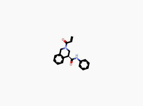 C=CC(=O)N1Cc2ccccc2[C@H](C(=O)Nc2ccccc2)C1